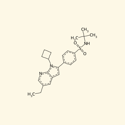 CCc1cnc2c(c1)cc(-c1ccc(S(=O)(=O)NC(C)(C)C)cc1)n2C1CCC1